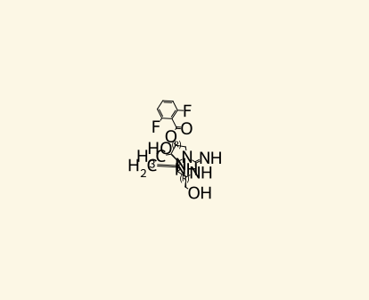 C=C1NC2[C@H](CO)NC(=N)N3C[C@H](OC(=O)c4c(F)cccc4F)C(C)C23N1O